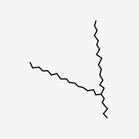 [CH2]CCCCC(CCCCCCCCCCCCCCC)CCCCCCCCCCCCCCCC